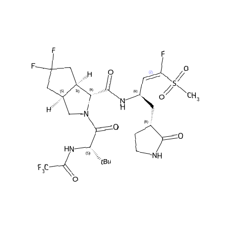 CC(C)(C)[C@H](NC(=O)C(F)(F)F)C(=O)N1C[C@H]2CC(F)(F)C[C@H]2[C@@H]1C(=O)N[C@@H](/C=C(/F)S(C)(=O)=O)C[C@H]1CCNC1=O